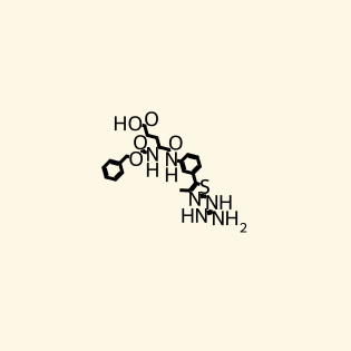 Cc1nc(NC(=N)N)sc1-c1cccc(NC(=O)C(CCC(=O)O)NC(=O)OCc2ccccc2)c1